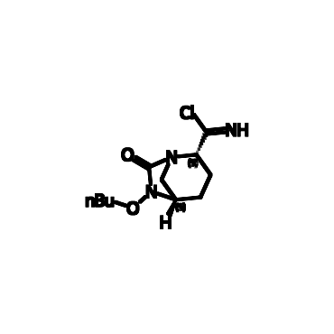 CCCCON1C(=O)N2C[C@@H]1CC[C@H]2C(=N)Cl